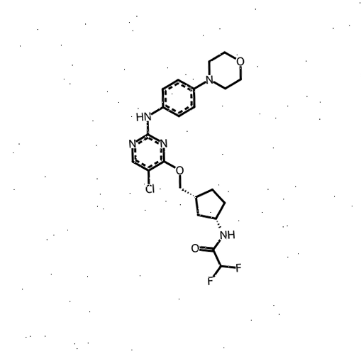 O=C(N[C@H]1CC[C@@H](COc2nc(Nc3ccc(N4CCOCC4)cc3)ncc2Cl)C1)C(F)F